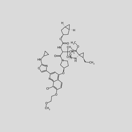 CC[C@@H]1C[C@]1(NC(=O)[C@@H]1C[C@@H](Oc2cc(-c3coc(NC4CC4)n3)nc3c(Cl)c(OCCOC)ccc23)CN1C(=O)C(NC(=O)O[C@@H]1C[C@@H]2C[C@@H]2C1)C(C)(C)C)C(=O)OC